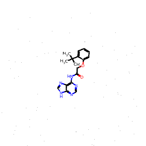 CC(C)(C)c1ccccc1OCC(=O)Nc1ncnc2[nH]cnc12